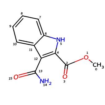 COC(=O)c1[nH]c2ccccc2c1C(N)=O